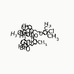 Cc1cc(N2CC(C)n3c(c(CCCOc4cc(C)c(Cl)c(C)c4)c4ccc(Cl)c(-c5c(C)nn(C)c5C)c43)C2=O)c2c(c1)cc(C(=O)O)n2Cc1cccc(Br)n1